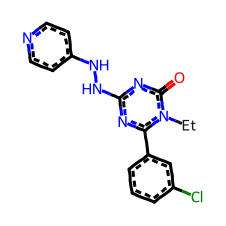 CCn1c(-c2cccc(Cl)c2)nc(NNc2ccncc2)nc1=O